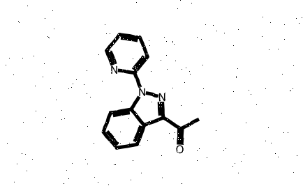 CC(=O)c1nn(-c2ccccn2)c2ccccc12